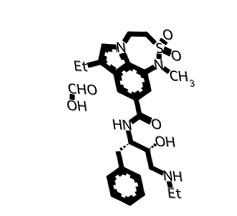 CCNC[C@@H](O)[C@H](Cc1ccccc1)NC(=O)c1cc2c3c(c1)c(CC)cn3CCS(=O)(=O)N2C.O=CO